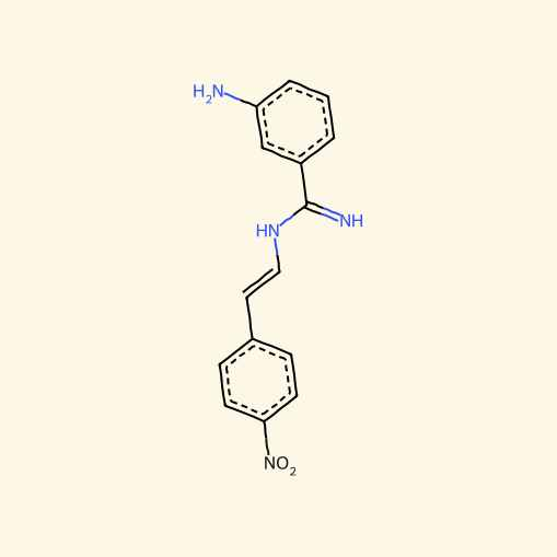 N=C(NC=Cc1ccc([N+](=O)[O-])cc1)c1cccc(N)c1